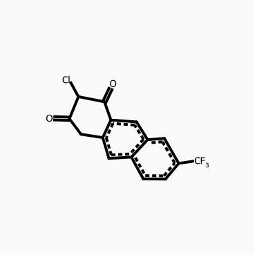 O=C1Cc2cc3ccc(C(F)(F)F)cc3cc2C(=O)C1Cl